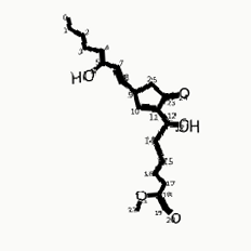 CCCCCC(O)C=CC1C=C(C(O)CCCCC(=C=O)OC)C(=O)C1